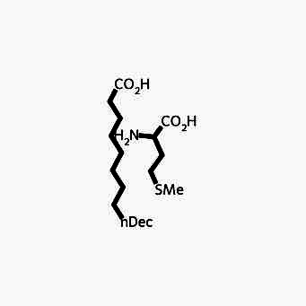 CCCCCCCCCCCCCCCCCC(=O)O.CSCCC(N)C(=O)O